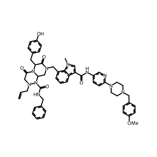 C=CCN1CC(=O)N2C(Cc3ccc(O)cc3)C(=O)N(Cc3cccc4c(C(=O)Nc5ccc(N6CCN(Cc7ccc(OC)cc7)CC6)nc5)cn(C)c34)CC2N1C(=O)NCc1ccccc1